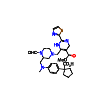 COC(=O)C1=C(CN2CCN(C=O)C(CN(C)c3ccc(C4(C(=O)O)CCCC4)cc3)C2)NC(c2nccs2)=NC1